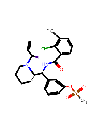 C=CC(I)N1CCCC[C@H]1[C@@H](NC(=O)c1cccc(C(F)(F)F)c1Cl)c1cccc(OS(=O)(=O)C(F)(F)F)c1